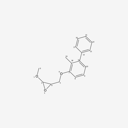 COC1OC1COc1cccc(-c2ccccc2)c1C